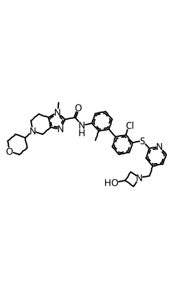 Cc1c(NC(=O)c2nc3c(n2C)CCN(C2CCOCC2)C3)cccc1-c1cccc(Sc2cc(CN3CC(O)C3)ccn2)c1Cl